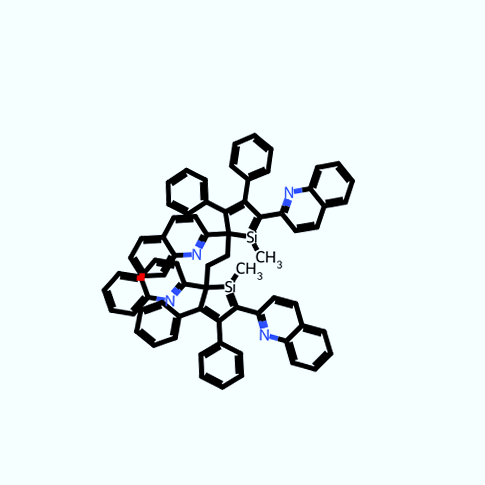 C[Si]1=C(c2ccc3ccccc3n2)C(c2ccccc2)=C(c2ccccc2)C1(CCC1(c2ccc3ccccc3n2)C(c2ccccc2)=C(c2ccccc2)C(c2ccc3ccccc3n2)=[Si]1C)c1ccc2ccccc2n1